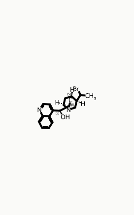 CC(Br)[C@H]1CN2CC[C@H]1C[C@@H]2[C@@H](O)c1ccnc2ccccc12